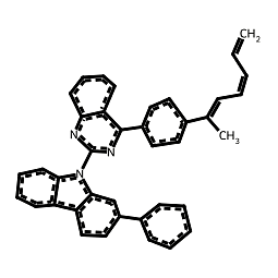 C=C/C=C\C=C(/C)c1ccc(-c2nc(-n3c4ccccc4c4ccc(-c5ccccc5)cc43)nc3ccccc23)cc1